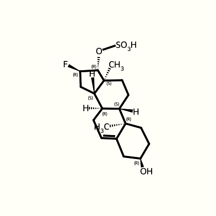 C[C@]12CC[C@H]3[C@@H](CC=C4C[C@H](O)CC[C@@]43C)[C@@H]1C[C@@H](F)[C@@H]2OS(=O)(=O)O